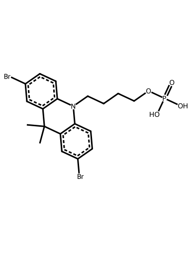 CC1(C)c2cc(Br)ccc2N(CCCCOP(=O)(O)O)c2ccc(Br)cc21